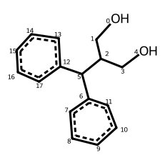 OCC(CO)C(c1ccccc1)c1ccccc1